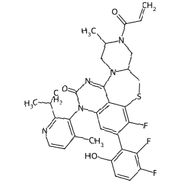 C=CC(=O)N1CC2CSc3c(F)c(-c4c(O)ccc(F)c4F)cc4c3c(nc(=O)n4-c3c(C)ccnc3C(C)C)N2CC1C